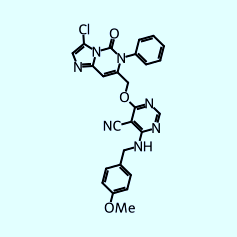 COc1ccc(CNc2ncnc(OCc3cc4ncc(Cl)n4c(=O)n3-c3ccccc3)c2C#N)cc1